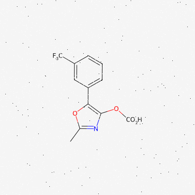 Cc1nc(OC(=O)O)c(-c2cccc(C(F)(F)F)c2)o1